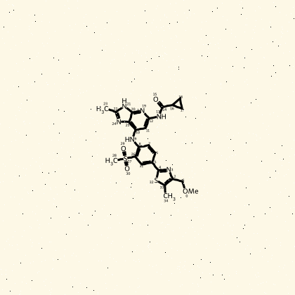 COCc1nc(-c2ccc(Nc3cc(NC(=O)C4CC4)nc4[nH]c(C)nc34)c(S(C)(=O)=O)c2)sc1C